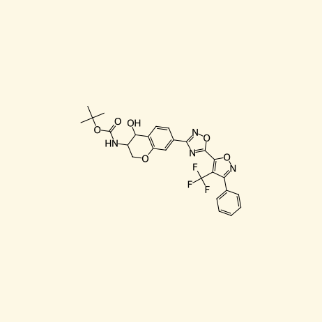 CC(C)(C)OC(=O)NC1COc2cc(-c3noc(-c4onc(-c5ccccc5)c4C(F)(F)F)n3)ccc2C1O